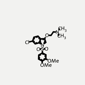 COc1ccc(S(=O)(=O)n2cc(OCCN(C)C)c3ccc(Cl)cc32)cc1OC